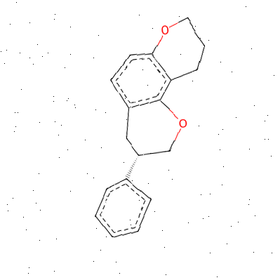 c1ccc([C@H]2COc3c(ccc4c3CCCO4)C2)cc1